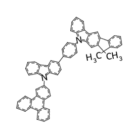 CC1(C)c2ccccc2-c2cc3c4ccccc4n(-c4ccc(-c5ccc6c(c5)c5ccccc5n6-c5ccc6c7ccccc7c7ccccc7c6c5)cc4)c3cc21